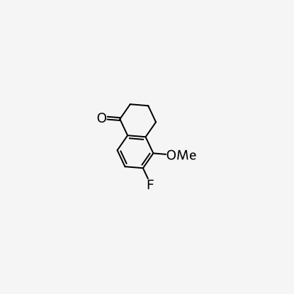 COc1c(F)ccc2c1CCCC2=O